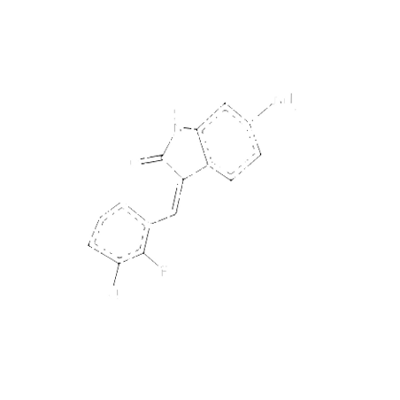 Nc1ccc2c(c1)NC(=O)C2=Cc1cccc(Cl)c1F